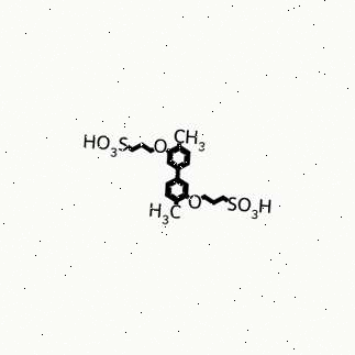 Cc1ccc(-c2ccc(C)c(OCCCS(=O)(=O)O)c2)cc1OCCCS(=O)(=O)O